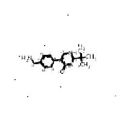 CC(C)(C)c1nc(=O)c(-c2ccc(CN)cc2)c[nH]1